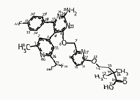 Cc1cc(-c2c(OCc3cccc(OCCC(C)(C)C(=O)O)n3)nc(N)nc2-c2ccc(F)cc2)cc(C(F)F)n1